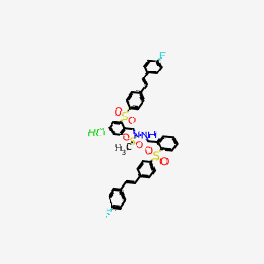 CS(=O)(=O)N(Cc1ccccc1S(=O)(=O)c1ccc(C=Cc2ccc(F)cc2)cc1)NCc1ccccc1S(=O)(=O)c1ccc(C=Cc2ccc(F)cc2)cc1.Cl